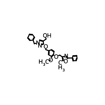 COc1cc(COc2nn(Cc3ccccc3)cc2CO)ccc1OCc1nc(-c2ccccc2)oc1C